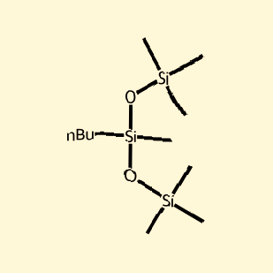 C[CH]CC[Si](C)(O[Si](C)(C)C)O[Si](C)(C)C